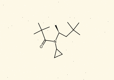 C[C@@H](CC(C)(C)C)N(C(=O)C(C)(C)C)C1CC1